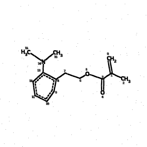 C=C(C)C(=O)OCCc1ccccc1N(C)C